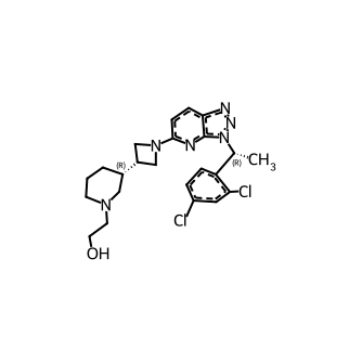 C[C@H](c1ccc(Cl)cc1Cl)n1nnc2ccc(N3CC([C@H]4CCCN(CCO)C4)C3)nc21